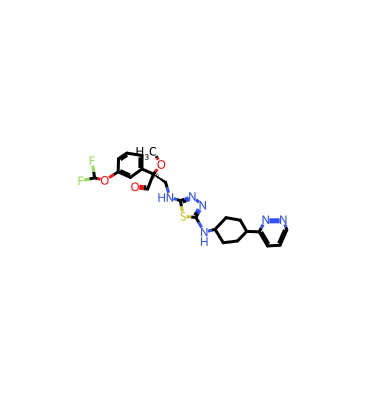 CO[C@@](C=O)(CNc1nnc(NC2CCC(c3cccnn3)CC2)s1)c1cccc(OC(F)F)c1